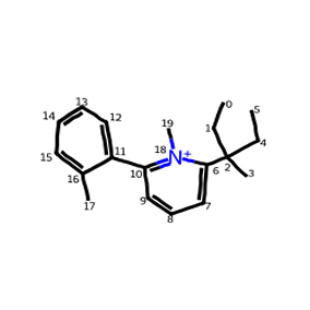 CCC(C)(CC)c1cccc(-c2ccccc2C)[n+]1C